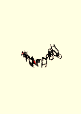 CN1CC(n2cc3cnc(-c4cn([C@H]5C[C@H](CNc6ccc7c(c6)C(=O)N(C6CCC(=O)NC6=O)C7=O)C5)nc4C4CC4)cc3n2)C1